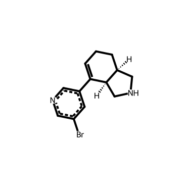 Brc1cncc(C2=CCC[C@H]3CNC[C@@H]23)c1